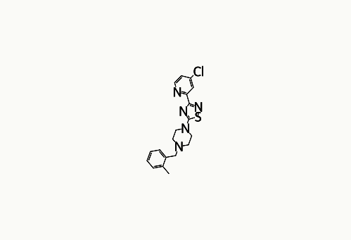 Cc1ccccc1CN1CCN(c2nc(-c3cc(Cl)ccn3)ns2)CC1